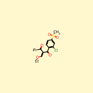 CCOC=C(C(=O)c1ccc(S(C)(=O)=O)cc1Cl)C(=O)C(C)C